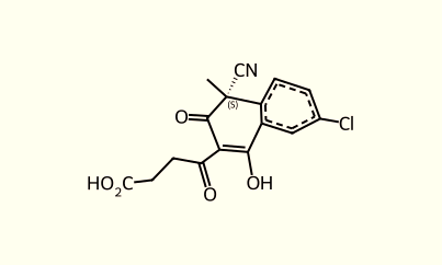 C[C@]1(C#N)C(=O)C(C(=O)CCC(=O)O)=C(O)c2cc(Cl)ccc21